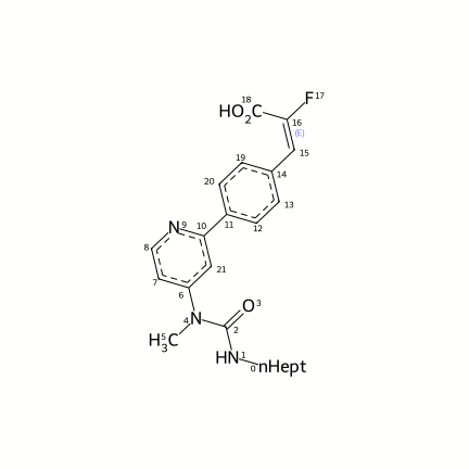 CCCCCCCNC(=O)N(C)c1ccnc(-c2ccc(/C=C(/F)C(=O)O)cc2)c1